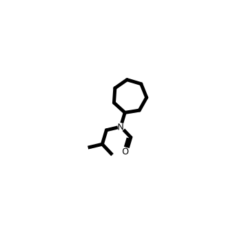 CC(C)CN(C=O)C1CCCCCC1